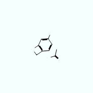 CC([O])=O.Clc1ccc2c(c1)OC2